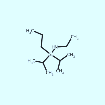 CCC[Si](NCC)(C(C)C)C(C)C